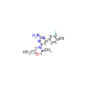 C[C@@H]1CO[C@H](C(=O)O)CN1c1cc(-c2ccc(C#N)c(F)c2)nc(N)n1